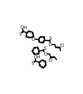 CC(Cl)=CCOC(=S)c1ccc(Cl)cc1.CC=C(Cl)COC(=S)c1ccccc1.OC(=S)c1ccccc1.OC(=S)c1ccccc1